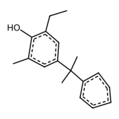 CCc1cc(C(C)(C)c2ccccc2)cc(C)c1O